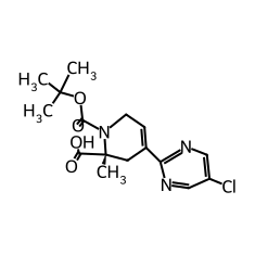 CC(C)(C)OC(=O)N1CC=C(c2ncc(Cl)cn2)C[C@]1(C)C(=O)O